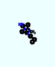 CN1CC2c3ccccc3C3=C(C=CNC3)N(c3ccccc3)C2c2ccn(-c3ccc(-c4cccc5c4CCC=C5)cc3)c21